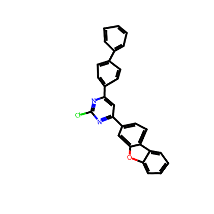 Clc1nc(-c2ccc(-c3ccccc3)cc2)cc(-c2ccc3c(c2)oc2ccccc23)n1